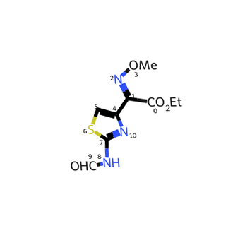 CCOC(=O)C(=NOC)c1csc(NC=O)n1